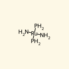 [NH2][Ru]([NH2])([PH2])[PH2]